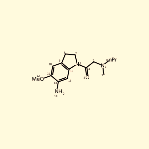 CCCN(C)CC(=O)N1CCc2cc(OC)c(N)cc21